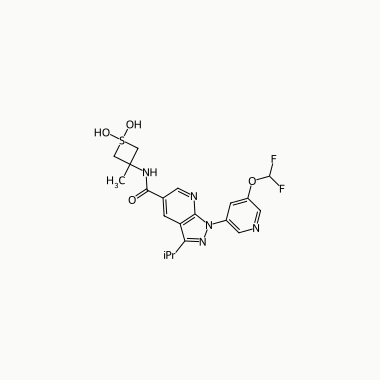 CC(C)c1nn(-c2cncc(OC(F)F)c2)c2ncc(C(=O)NC3(C)CS(O)(O)C3)cc12